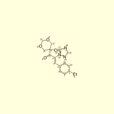 CCc1ccc(C=C(C(=O)C2(C)COCOC2)n2cncn2)cc1